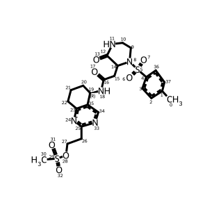 Cc1ccc(S(=O)(=O)N2CCNC(=O)C2CC(=O)N[C@@H]2CCCc3nc(CCOS(C)(=O)=O)ncc32)cc1